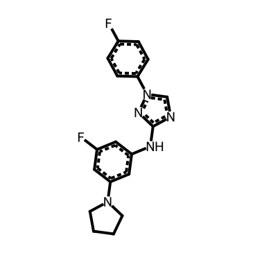 Fc1ccc(-n2cnc(Nc3cc(F)cc(N4CCCC4)c3)n2)cc1